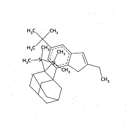 CCC1=Cc2cc(C(C)(C)C)cc(C34CC5C[C](CC(C5)C3)C43[Si](C)(C)[Si]3(C)C)c2C1